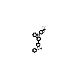 FC(F)(F)c1ccc(-n2c3ccccc3c3cc(-c4ccc(Nc5ccccc5)cc4)ccc32)cc1